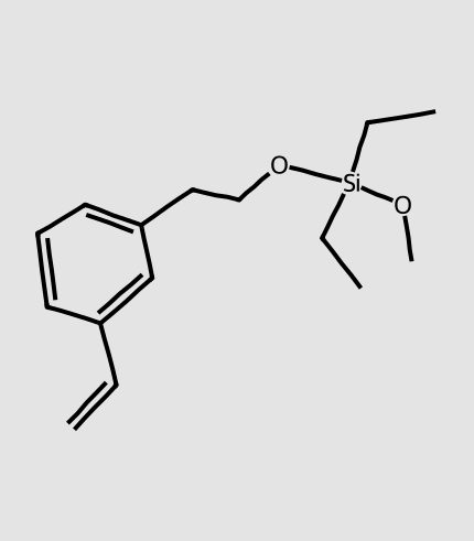 C=Cc1cccc(CCO[Si](CC)(CC)OC)c1